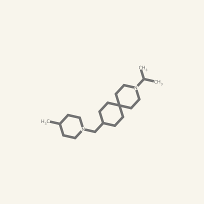 CC1CCN(CC2CCC3(CC2)CCN(C(C)C)CC3)CC1